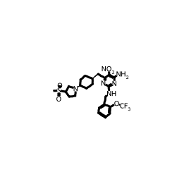 CS(=O)(=O)C1CCN([C@H]2CC[C@H](Cc3nc(NCc4ccccc4OC(F)(F)F)nc(N)c3[N+](=O)[O-])CC2)C1